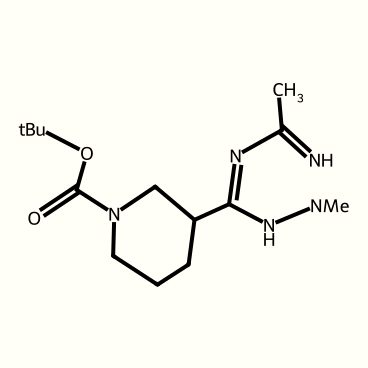 CNN/C(=N\C(C)=N)C1CCCN(C(=O)OC(C)(C)C)C1